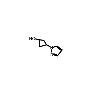 OC1CC(n2c[c]cn2)C1